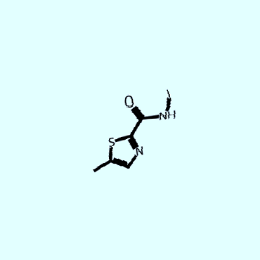 Cc1cnc(C(=O)NI)s1